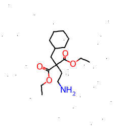 CCOC(=O)C(CCN)(CC1CCCCC1)C(=O)OCC